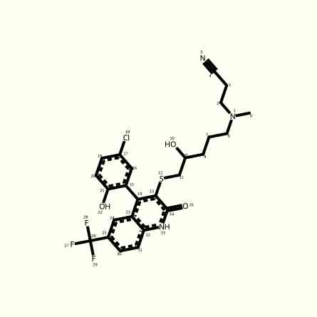 CN(CCC#N)CCCC(O)CSc1c(-c2cc(Cl)ccc2O)c2cc(C(F)(F)F)ccc2[nH]c1=O